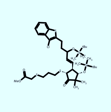 COC(=O)CSCCCS[C@H]1C(=O)C(C)(C)[C@@H](O[Si](C)(C)C(C)(C)C)[C@@H]1/C=C/C(CCc1sc2ccccc2c1Cl)O[Si](C)(C)C(C)(C)C